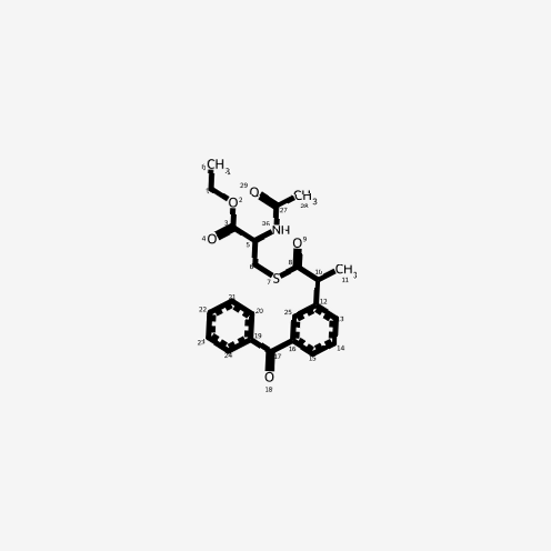 CCOC(=O)C(CSC(=O)C(C)c1cccc(C(=O)c2ccccc2)c1)NC(C)=O